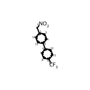 O=[N+]([O-])Cc1ccc(-c2ccc(C(F)(F)F)cc2)cc1